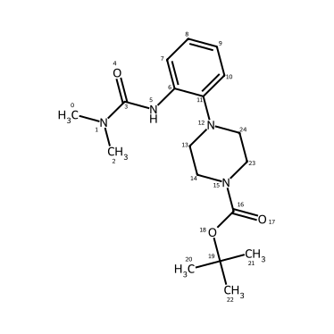 CN(C)C(=O)Nc1ccccc1N1CCN(C(=O)OC(C)(C)C)CC1